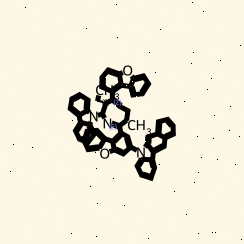 CC[C@H]1/C(c2cccc3oc4ccccc4c23)=C/CC(C)/C(c2cc(-n3c4ccccc4c4cc5ccccc5cc43)cc3oc4ccccc4c23)=N\C1n1c2ccccc2c2ccccc21